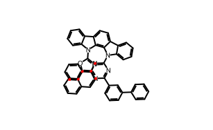 c1ccc(-c2cccc(-c3nc(-c4ccccc4)nc(-n4c5ccccc5c5ccc6c7ccccc7n(-c7nc8ccc9ccccc9c8o7)c6c54)n3)c2)cc1